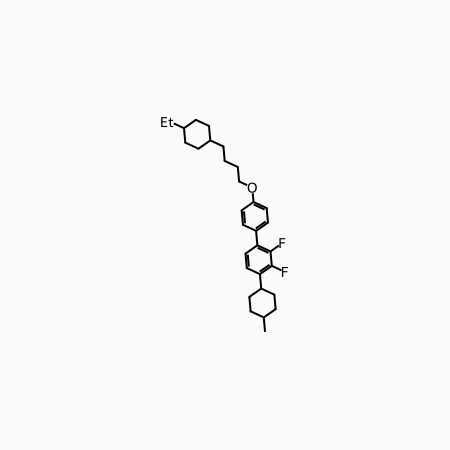 CCC1CCC(CCCCOc2ccc(-c3ccc(C4CCC(C)CC4)c(F)c3F)cc2)CC1